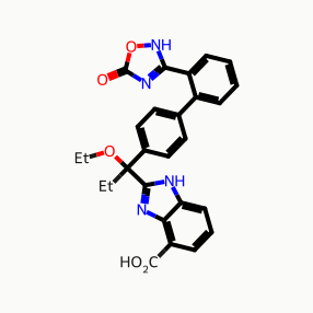 CCOC(CC)(c1ccc(-c2ccccc2-c2nc(=O)o[nH]2)cc1)c1nc2c(C(=O)O)cccc2[nH]1